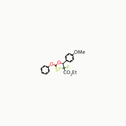 CCOC(=O)C(F)(F)C(OC(=S)Oc1ccccc1)c1ccc(OC)cc1